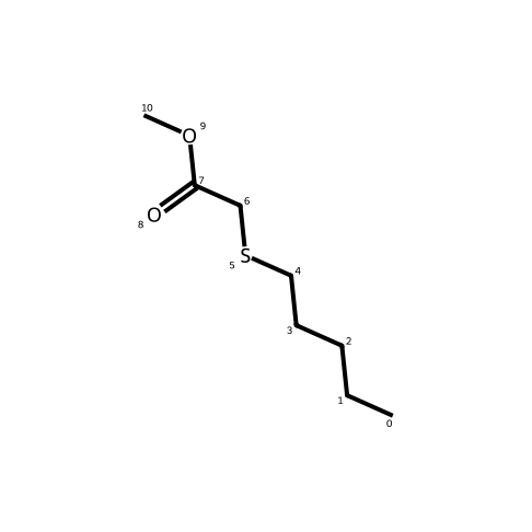 CCCCCSCC(=O)OC